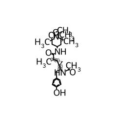 CON1C(C)(C)CC(NC(=O)[C@@H](C)[C@@H]2C[C@H]2[C@H](Cc2ccc(O)cc2)NC(C)=O)CC1(C)C